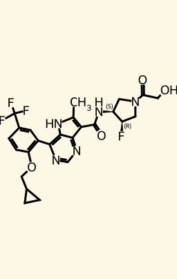 Cc1[nH]c2c(-c3cc(C(F)(F)F)ccc3OCC3CC3)ncnc2c1C(=O)N[C@H]1CN(C(=O)CO)C[C@H]1F